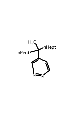 CCCCCCCC(C)(CCCCC)c1ccnnc1